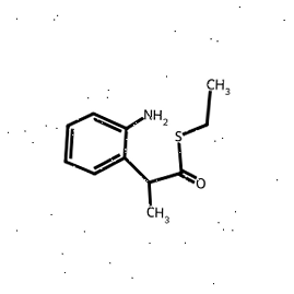 CCSC(=O)C(C)c1ccccc1N